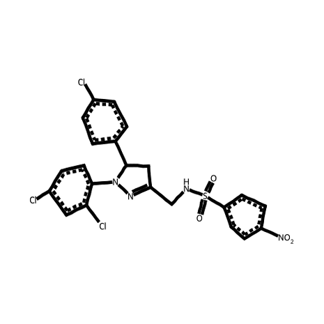 O=[N+]([O-])c1ccc(S(=O)(=O)NCC2=NN(c3ccc(Cl)cc3Cl)C(c3ccc(Cl)cc3)C2)cc1